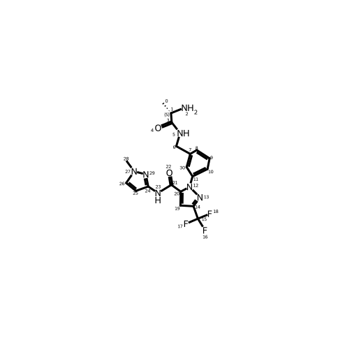 C[C@H](N)C(=O)NCc1cccc(-n2nc(C(F)(F)F)cc2C(=O)Nc2ccn(C)n2)c1